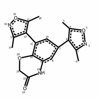 Cc1noc(C)c1-c1cc2c(c(-c3c(C)noc3C)c1)OCC(=O)N2